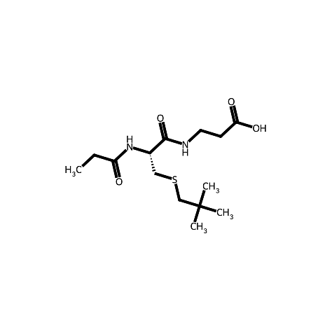 CCC(=O)N[C@@H](CSCC(C)(C)C)C(=O)NCCC(=O)O